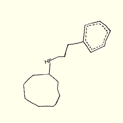 c1ccc(CCPC2CCCCCCC2)cc1